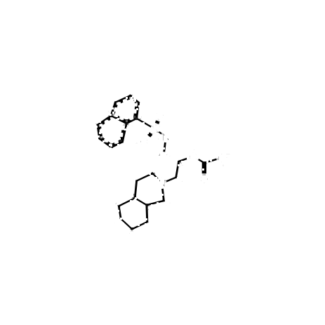 O=C(O[C@@H](CNS(=O)(=O)c1cccc2ccccc12)CN1CCC2CCCCC2C1)C(F)(F)F